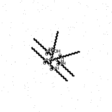 CCCCCCCCCCCCNC(=O)CCN(CCC(=O)NCCCCCCCCCCCC)CCN(CCN(CCC(=O)NCCCCCCCCCCCC)CCC(=O)NCCCCCCCCCCCC)CCN(CCC(=O)NCCCCCCCCCCCC)CCC(O)NCCCCCCCCCCCC